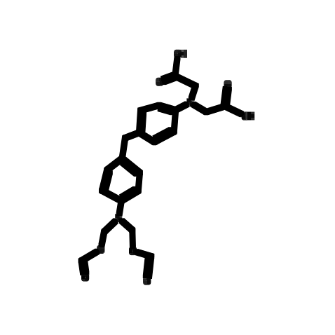 O=COCN(COC=O)c1ccc(Cc2ccc(N(CC(=O)O)CC(=O)O)cc2)cc1